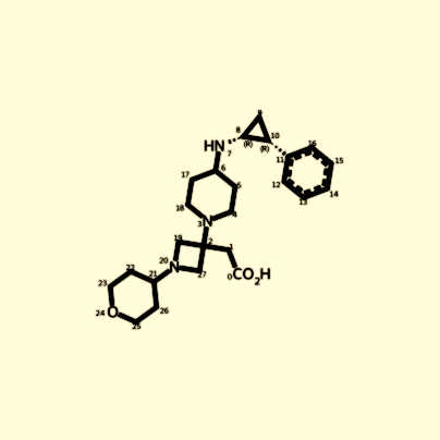 O=C(O)CC1(N2CCC(N[C@@H]3C[C@@H]3c3ccccc3)CC2)CN(C2CCOCC2)C1